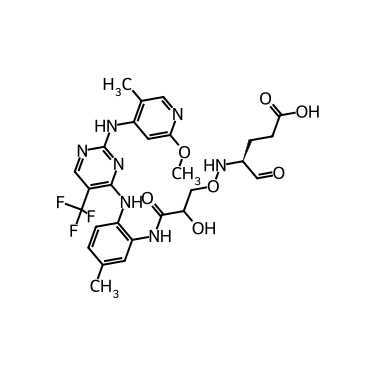 COc1cc(Nc2ncc(C(F)(F)F)c(Nc3ccc(C)cc3NC(=O)C(O)CON[C@H](C=O)CCC(=O)O)n2)c(C)cn1